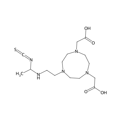 CC(N=C=S)NCCN1CCN(CC(=O)O)CCN(CC(=O)O)CC1